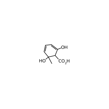 CC1(O)C=CC=C(O)C1C(=O)O